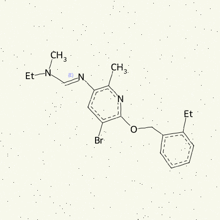 CCc1ccccc1COc1nc(C)c(/N=C/N(C)CC)cc1Br